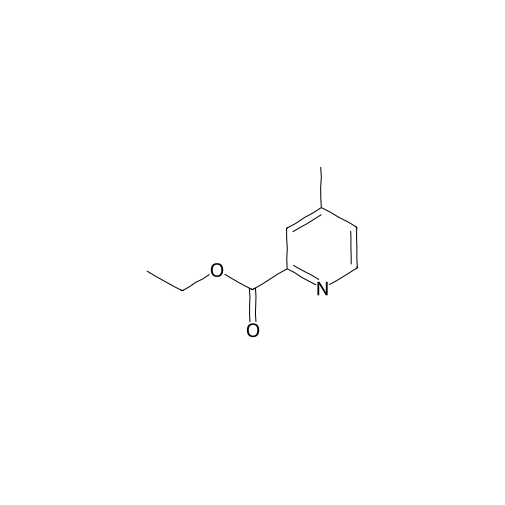 CCOC(=O)c1cc(C)ccn1